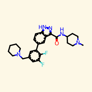 CN1CCC(NC(=O)c2n[nH]c3ccc(-c4cc(CN5CCCCC5)cc(F)c4F)cc23)CC1